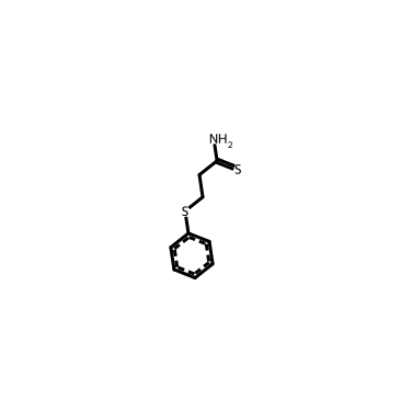 NC(=S)CCSc1ccccc1